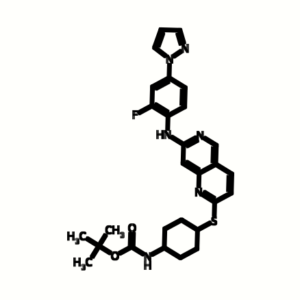 CC(C)(C)OC(=O)NC1CCC(Sc2ccc3cnc(Nc4ccc(-n5cccn5)cc4F)cc3n2)CC1